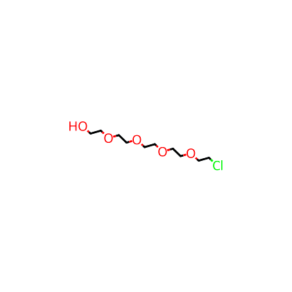 OCCOCCOCCOCCOCCCl